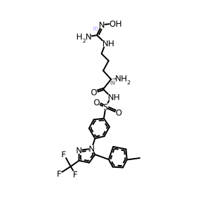 Cc1ccc(-c2cc(C(F)(F)F)nn2-c2ccc(S(=O)(=O)NC(=O)[C@@H](N)CCCN/C(N)=N\O)cc2)cc1